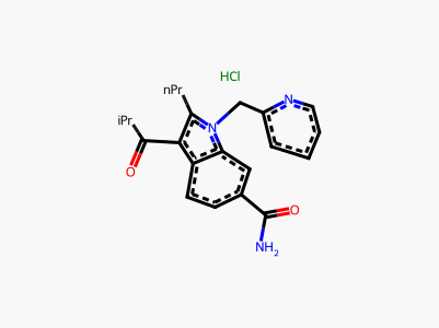 CCCc1c(C(=O)C(C)C)c2ccc(C(N)=O)cc2n1Cc1ccccn1.Cl